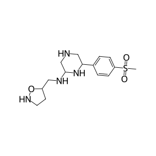 CS(=O)(=O)c1ccc(C2CNCC(NCC3CCNO3)N2)cc1